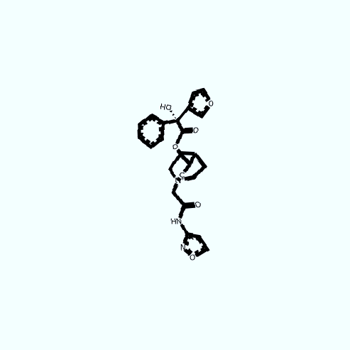 O=C(C[N+]12CCC(CC1)C(OC(=O)[C@@](O)(c1ccccc1)c1ccoc1)C2)Nc1ccon1